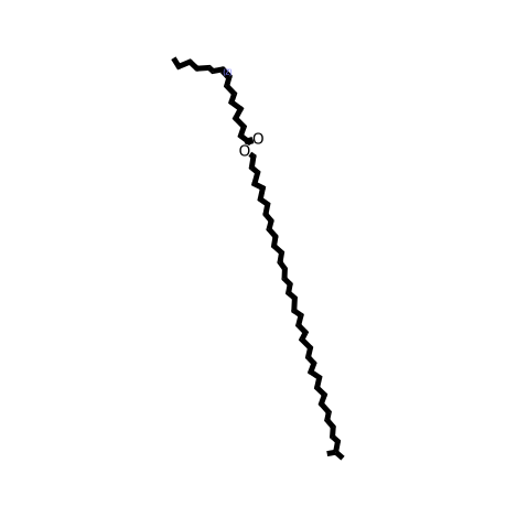 CCCCCC/C=C\CCCCCCCC(=O)OCCCCCCCCCCCCCCCCCCCCCCCCCCCCCCCCCCCCCC(C)C